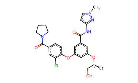 CC[C@@H](CO)Oc1cc(Oc2ccc(C(=O)N3CCCC3)cc2Cl)cc(C(=O)Nc2ccn(C)n2)c1